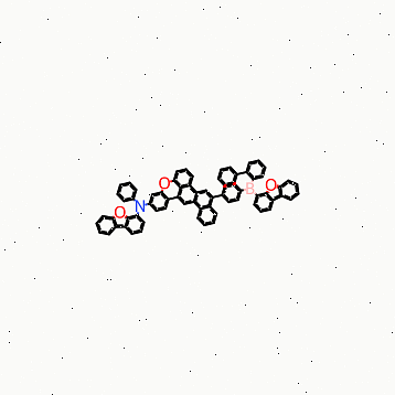 c1ccc(-c2ccccc2B(c2ccc(-c3cc4c5cccc6c5c(cc4c4ccccc34)-c3ccc(N(c4ccccc4)c4cccc5c4oc4ccccc45)cc3O6)cc2)c2cccc3c2oc2ccccc23)cc1